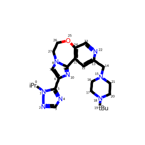 CC(C)n1ncnc1-c1cn2c(n1)-c1cc(CN3CCN(C(C)(C)C)CC3)ncc1OCC2